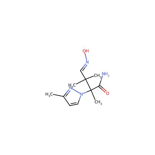 Cc1ccn(C(C)(C(N)=O)C(C)(C)C=NO)n1